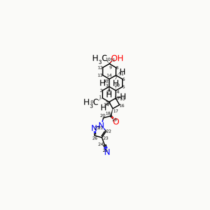 C[C@@H]1C[C@H]2[C@@H](CC[C@@H]3C[C@](C)(O)CC[C@@H]32)[C@@H]2C[C@@H](C(=O)Cn3cc(C#N)cn3)[C@H]21